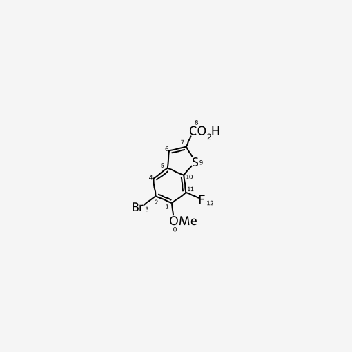 COc1c(Br)cc2cc(C(=O)O)sc2c1F